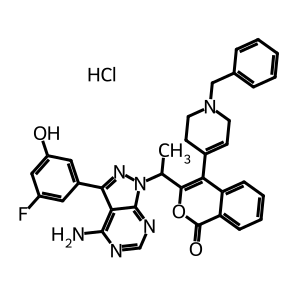 CC(c1oc(=O)c2ccccc2c1C1=CCN(Cc2ccccc2)CC1)n1nc(-c2cc(O)cc(F)c2)c2c(N)ncnc21.Cl